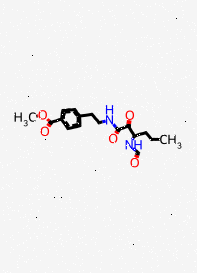 CCCC(NC=O)C(=O)C(=O)NCCc1ccc(C(=O)OC)cc1